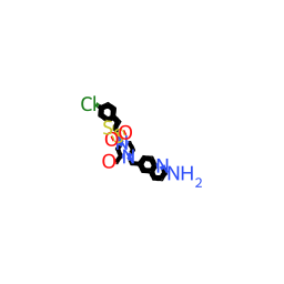 Nc1ccc2cc(CN3CCN(S(=O)(=O)c4cc5ccc(Cl)cc5s4)CC3C=O)ccc2n1